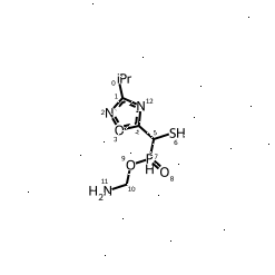 CC(C)c1noc(C(S)[PH](=O)OCN)n1